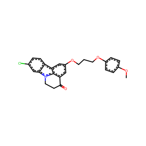 COc1ccc(OCCCOc2cc3c4c(c2)c2ccc(Cl)cc2n4CCC3=O)cc1